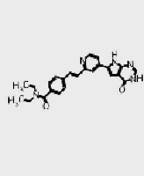 CCN(CC)C(=O)c1ccc(/C=C/c2cc(-c3cc4c(=O)[nH]cnc4[nH]3)ccn2)cc1